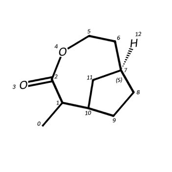 CC1C(=O)OCC[C@H]2CCC1C2